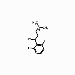 C[SH](C)CCC(O)c1c(F)cccc1F